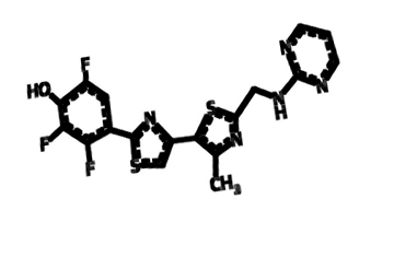 Cc1nc(CNc2ncccn2)sc1-c1csc(-c2cc(F)c(O)c(F)c2F)n1